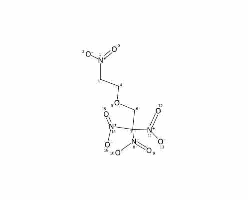 O=[N+]([O-])CCOCC([N+](=O)[O-])([N+](=O)[O-])[N+](=O)[O-]